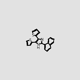 c1csc(-c2nc(-c3cccc4ccccc34)[nH]c2-c2cccs2)c1